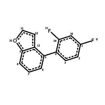 Fc1ccc(-c2cccc3occc23)c(F)c1